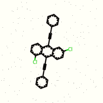 Clc1ccc2c(C#Cc3ccccc3)c3c(Cl)cccc3c(C#Cc3ccccc3)c2c1